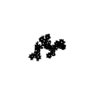 Cc1cc(SCC2=C(C(=O)OC(c3ccccc3)c3ccccc3)N3C(=O)[C@@H](NC(=O)/C(=N\OC(=O)c4ccccc4)c4csc(NC(c5ccccc5)(c5ccccc5)c5ccccc5)n4)[C@H]3SC2)n2nc(C(=O)OC(c3ccccc3)c3ccccc3)nc2n1